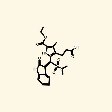 CCOC(=O)c1[nH]c(C(=C2C(=O)Nc3ccccc32)S(=O)(=O)N(C)C)c(CCC(=O)O)c1C